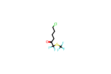 O=C(CCCCCl)C(F)(F)SC(F)(F)F